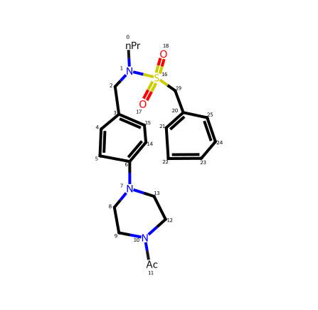 CCCN(Cc1ccc(N2CCN(C(C)=O)CC2)cc1)S(=O)(=O)Cc1ccccc1